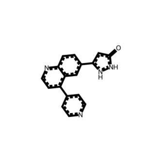 O=c1cc(-c2ccc3nccc(-c4ccncc4)c3c2)[nH][nH]1